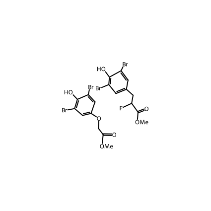 COC(=O)C(F)Cc1cc(Br)c(O)c(Br)c1.COC(=O)COc1cc(Br)c(O)c(Br)c1